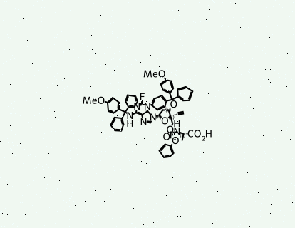 C#C[C@]1(COP(=O)(N[C@@H](C)C(=O)O)Oc2ccccc2)O[C@@H](n2cnc3c(NC(c4ccccc4)(c4ccccc4)c4ccc(OC)cc4)nc(F)nc32)C[C@@H]1OC(c1ccccc1)(c1ccccc1)c1ccc(OC)cc1